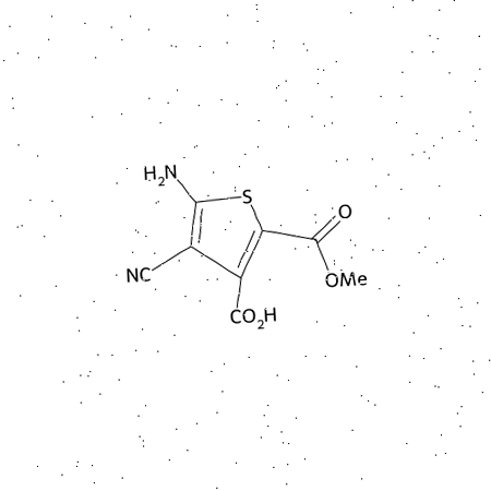 COC(=O)c1sc(N)c(C#N)c1C(=O)O